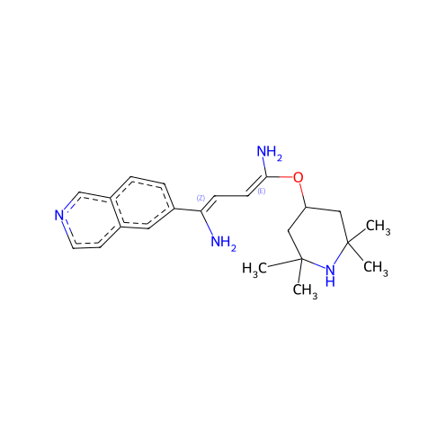 CC1(C)CC(O/C(N)=C/C=C(\N)c2ccc3cnccc3c2)CC(C)(C)N1